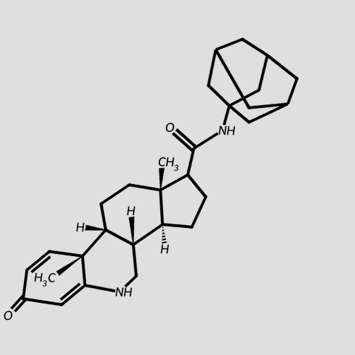 C[C@]12C=CC(=O)C=C1NC[C@@H]1[C@H]2CC[C@]2(C)C(C(=O)NC34CC5CC(CC(C5)C3)C4)CC[C@@H]12